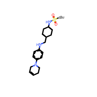 CC(C)(C)S(=O)(=O)NC1CCC(CNc2ccc(N3CC=CCC3)cc2)CC1